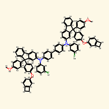 COc1ccc(C2(c3ccc(Oc4ccc5c(c4)CC5)cc3)c3ccccc3-c3ccc(N(c4ccc(-c5ccc(N(c6cccc(F)c6)c6ccc7c(c6)C(c6ccc(OC)cc6)(c6ccc(Oc8ccc9c(c8)CC9)cc6)c6ccccc6-7)cc5)cc4)c4cccc(F)c4)cc32)cc1